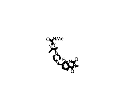 CNC(=O)c1ccc(N2CCN(Cc3ccc4c(=O)n(C)c(=O)[nH]c4c3F)CC2)c(C)n1